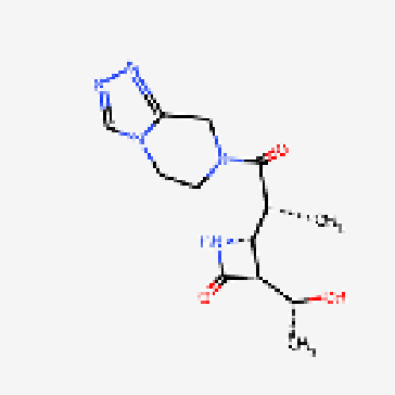 C[C@@H](O)[C@H]1C(=O)N[C@@H]1[C@@H](C)C(=O)N1CCn2cnnc2C1